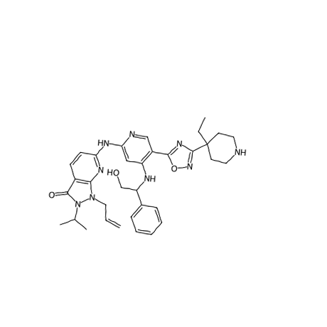 C=CCn1c2nc(Nc3cc(NC(CO)c4ccccc4)c(-c4nc(C5(CC)CCNCC5)no4)cn3)ccc2c(=O)n1C(C)C